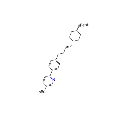 CCCCC[C@H]1CC[C@H](C=CCCc2ccc(-c3ccc(CCCC)cn3)cc2)CC1